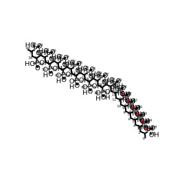 CC(CC(CC(CC(CC(CC(CC(CC(CC(CC(CC(CC(CC(CC(CC(CC(CC(CC(CC(CC(C)P(=O)(O)O)P(=O)(O)O)P(=O)(O)O)P(=O)(O)O)P(=O)(O)O)P(=O)(O)O)P(=O)(O)O)P(=O)(O)O)P(=O)(O)O)P(=O)(O)O)P(=O)(O)O)P(=O)(O)O)P(=O)(O)O)P(=O)(O)O)P(=O)(O)O)P(=O)(O)O)P(=O)(O)O)P(=O)(O)O)P(=O)(O)O)P(=O)(O)O